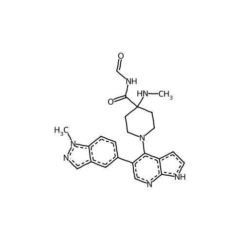 CNC1(C(=O)NC=O)CCN(c2c(-c3ccc4c(cnn4C)c3)cnc3[nH]ccc23)CC1